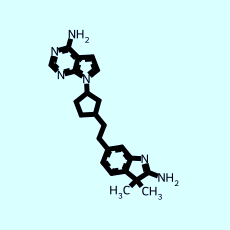 CC1(C)C(N)=Nc2cc(CCC3CCC(n4ccc5c(N)ncnc54)C3)ccc21